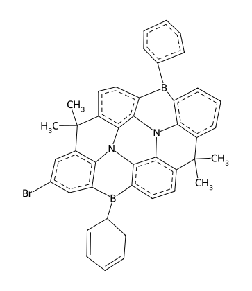 CC1(C)c2cccc3c2N2c4c(ccc5c4N4c6c(cc(Br)cc6C5(C)C)B(C5C=CC=CC5)c5ccc1c2c54)B3c1ccccc1